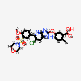 COc1ccc(-c2nc3nc(Oc4ccc(C)c(C(=O)O)c4)[nH]c3cc2Cl)cc1S(=O)(=O)N1CCOCC1